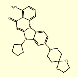 Nc1cccc2c1c(=O)nc1n(C3CCCC3)c3cc(N4CCC5(CC4)OCCO5)ccc3n21